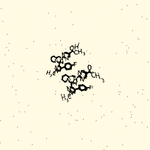 CC(=O)c1cnc(NC[C@@H]2CCCCN2C(=O)c2nn(C)cc2-c2ccc(F)cc2)nc1.C[C@H](O)c1cnc(NCC2CCCCN2C(=O)c2nn(C)cc2-c2ccc(F)cc2)nc1